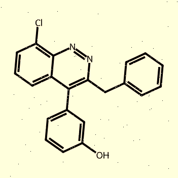 Oc1cccc(-c2c(Cc3ccccc3)nnc3c(Cl)cccc23)c1